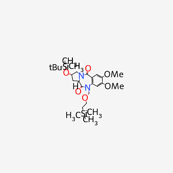 COc1cc2c(cc1OC)N(COCC[Si](C)(C)C)C(=O)[C@@H]1C[C@@H](O[Si](C)(C)C(C)(C)C)CN1C2=O